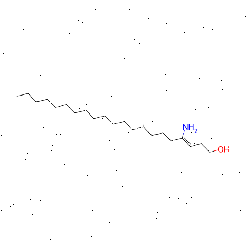 CCCCCCCCCCCCC[CH]CCCC(N)=CCCO